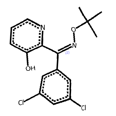 CC(C)(C)O/N=C(/c1cc(Cl)cc(Cl)c1)c1ncccc1O